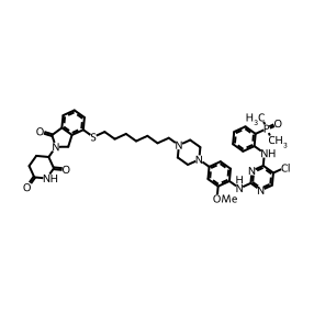 COc1cc(N2CCN(CCCCCCCSc3cccc4c3CN(C3CCC(=O)NC3=O)C4=O)CC2)ccc1Nc1ncc(Cl)c(Nc2ccccc2P(C)(C)=O)n1